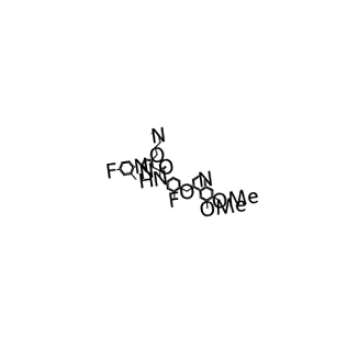 COc1cc2nccc(Oc3ccc(NC(=O)c4nn(-c5ccc(F)cc5C)cc4OCCN(C)C)cc3F)c2cc1OC